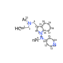 C#CCN(Cc1cn(N(CCC)c2ccncc2)c2ccccc12)C(C)=O